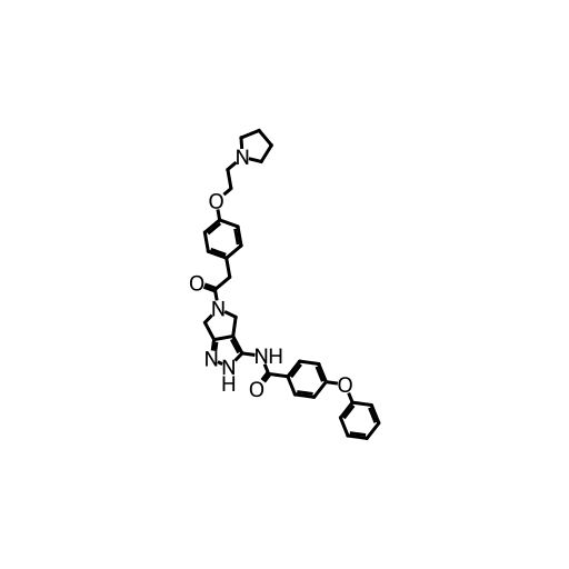 O=C(Nc1[nH]nc2c1CN(C(=O)Cc1ccc(OCCN3CCCC3)cc1)C2)c1ccc(Oc2ccccc2)cc1